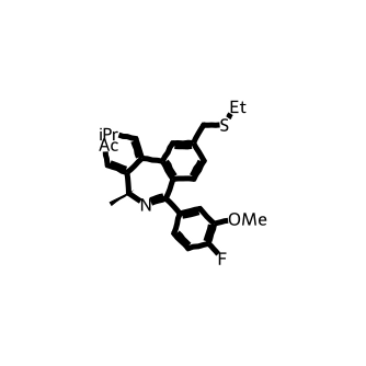 CCSCc1ccc2c(c1)C(=C/C(C)C)/C(=C\C(C)=O)[C@H](C)N=C2c1ccc(F)c(OC)c1